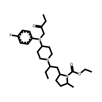 CCOC(=O)N1C(C)CCC1CC(CC)N1CCC(N(CC(=O)CC)c2ccc(F)cc2)CC1